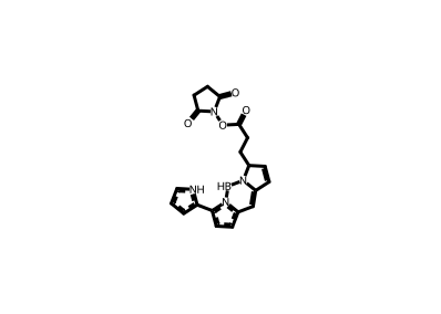 O=C(CCC1C=CC2=Cc3ccc(-c4ccc[nH]4)n3BN21)ON1C(=O)CCC1=O